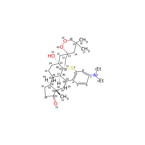 CCN(CC)c1ccc2c(c1)S[C@]13CCC4(CC(C)(C)COO4)C[C@]1(O)CC[C@@H]1[C@@H]3[C@@H]2C[C@]2(C)C(=O)CC[C@@H]12